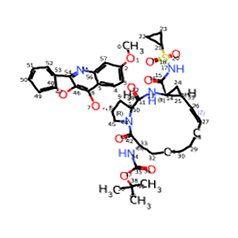 COc1ccc2c(O[C@@H]3C[C@H]4C(=O)N[C@]5(C(=O)NS(=O)(=O)C6CC6)C[C@H]5/C=C\CCCCC[C@H](NC(=O)OC(C)(C)C)C(=O)N4C3)c3oc4ccccc4c3nc2c1